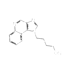 OCCCCn1cnc2cnc3ccccc3c21